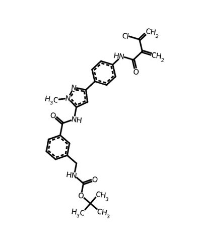 C=C(Cl)C(=C)C(=O)Nc1ccc(-c2cc(NC(=O)c3cccc(CNC(=O)OC(C)(C)C)c3)n(C)n2)cc1